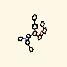 c1ccc(-c2ccc(-c3cc(-c4ccc5c(c4)c4cc(-c6ccccc6)ccc4n5-c4ccccc4)cc(-c4cccc5c4oc4c(-c6ccccc6)cccc45)c3)cc2)cc1